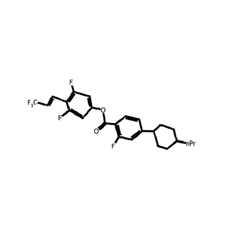 CCCC1CCC(c2ccc(C(=O)Oc3cc(F)c(/C=C/C(F)(F)F)c(F)c3)c(F)c2)CC1